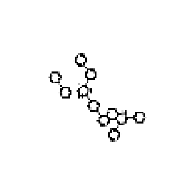 c1ccc(-c2cccc(-c3nc(-c4ccc(-c5cccc6c5ccc5nc(-c7ccccc7)cc(-c7ccccc7)c56)cc4)nc(-c4cccc(-c5ccccc5)c4)n3)c2)cc1